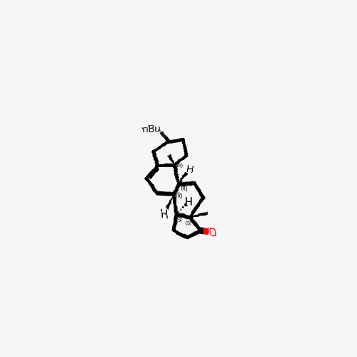 CCCCC1CC[C@@]2(C)C(=CC[C@@H]3[C@H]2CC[C@]2(C)C(=O)CC[C@@H]32)C1